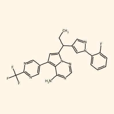 CCC(c1cnn(-c2ccccc2F)c1)c1cc(-c2cnc(C(F)(F)F)nc2)c2c(N)ncnn12